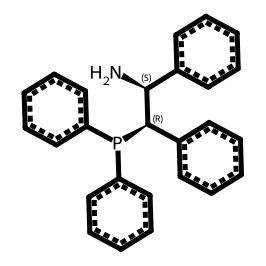 N[C@@H](c1ccccc1)[C@@H](c1ccccc1)P(c1ccccc1)c1ccccc1